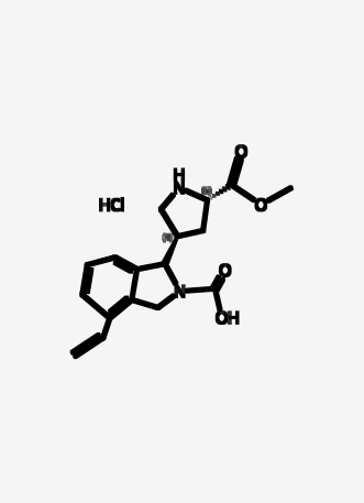 C=Cc1cccc2c1CN(C(=O)O)C2[C@H]1CN[C@H](C(=O)OC)C1.Cl